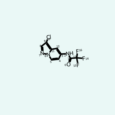 O=C(Nc1ccn2ncc(Cl)c2c1)C(F)(F)F